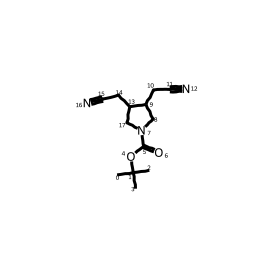 CC(C)(C)OC(=O)N1CC(CC#N)C(CC#N)C1